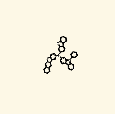 C1=c2ccccc2=CC2c3cc(N(c4ccc5c(c4)oc4ccccc45)c4ccc5c6ccccc6n(-c6ccccc6)c5c4)ccc3SC12